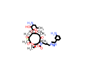 CC[C@H]1OC(=O)[C@@](C)(F)C(=O)[C@H](C)[C@@H](O[C@@H]2OC(C)CC(N)C2O)[C@](C)(OC)C[C@@H](C)C(=O)[C@H](C)[C@H]2N(C/C=C/Cn3cc(-c4cccc(N)c4)nn3)C(=O)O[C@]12C